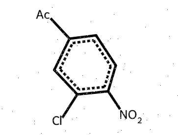 CC(=O)c1ccc([N+](=O)[O-])c(Cl)c1